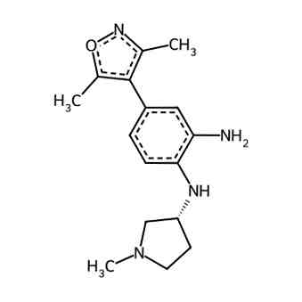 Cc1noc(C)c1-c1ccc(N[C@@H]2CCN(C)C2)c(N)c1